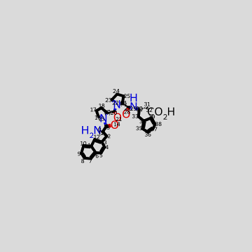 N[C@@H](Cc1ccc2ccccc2c1)C(=O)N1CCC[C@H]1C(=O)N1CCC[C@H]1C(=O)N[C@H](CC(=O)O)Cc1ccccc1